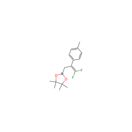 Cc1ccc(C(CB2OC(C)(C)C(C)(C)O2)=C(F)F)cc1